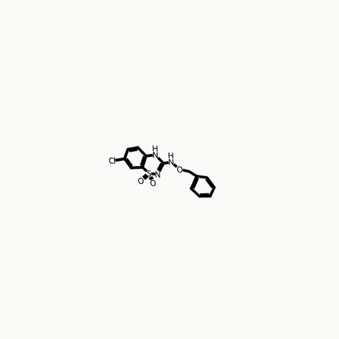 O=S1(=O)N=C(NOCc2ccccc2)Nc2ccc(Cl)cc21